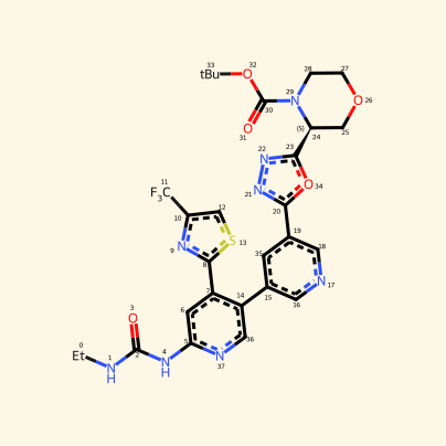 CCNC(=O)Nc1cc(-c2nc(C(F)(F)F)cs2)c(-c2cncc(-c3nnc([C@@H]4COCCN4C(=O)OC(C)(C)C)o3)c2)cn1